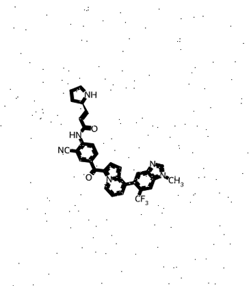 Cn1cnc2cc(-c3cccn4c(C(=O)c5ccc(NC(=O)/C=C/[C@H]6CCCN6)c(C#N)c5)ccc34)c(C(F)(F)F)cc21